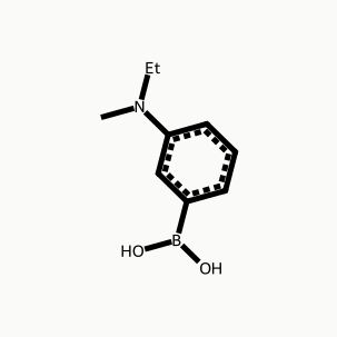 CCN(C)c1cccc(B(O)O)c1